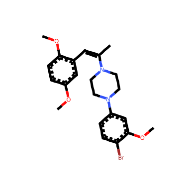 COc1ccc(OC)c(C=C(C)N2CCN(c3ccc(Br)c(OC)c3)CC2)c1